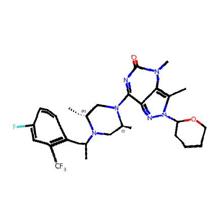 Cc1c2c(nn1C1CCCCO1)c(N1C[C@@H](C)N(C(C)c3ccc(F)cc3C(F)(F)F)C[C@@H]1C)nc(=O)n2C